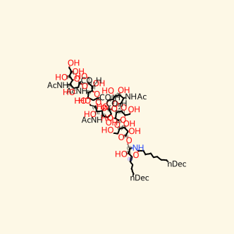 CCCCCCCCCCCCC/C=C/[C@@H](O)[C@H](CO[C@@H]1OC(CO)[C@@H](O[C@@H]2OC(CO)[C@H](O[C@@H]3OC(CO)[C@H](O)[C@H](O)C3NC(C)=O)[C@H](O[C@]3(C(=O)O)CC(O)[C@@H](NC(C)=O)C([C@H](O)[C@@H](CO)O[C@]4(C(=O)O)CC(O)[C@@H](NC(C)=O)C([C@H](O)[C@@H](CO)O[C@]5(C(=O)O)CC(O)[C@@H](NC(C)=O)C([C@H](O)[C@H](O)CO)O5)O4)O3)C2O)[C@H](O)C1O)NC(=O)CCCCCCCCCCCCCCCCC